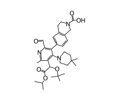 Cc1nc(C=O)c(-c2ccc3c(c2)CCN(C(=O)O)C3)c(N2CCC(C)(C)CC2)c1C(OC(C)(C)C)C(=O)OC(C)C